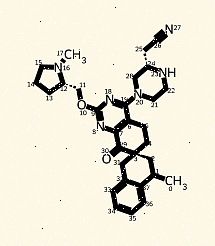 CC1C[C@@]2(CCc3c(nc(OC[C@@H]4CCCN4C)nc3N3CCN[C@@H](CC#N)C3)C2=O)Cc2ccccc21